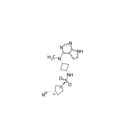 CN(c1ncnc2[nH]ccc12)[C@H]1C[C@@H](NS(=O)(=O)[C@H]2CC[C@H](C#N)C2)C1